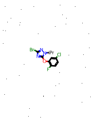 CC(C)n1nc(Br)nc1Oc1cc(Cl)ccc1F